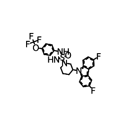 N=S(=O)(Nc1ccc(OC(F)(F)F)cc1)N1CCCC(n2c3ccc(F)cc3c3cc(F)ccc32)C1